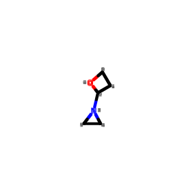 C1CC(N2CC2)O1